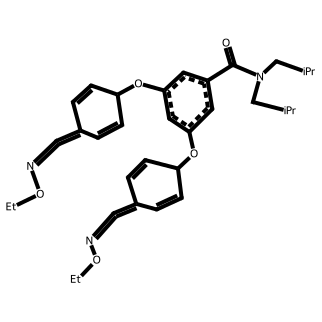 CCON=C=C1C=CC(Oc2cc(OC3C=CC(=C=NOCC)C=C3)cc(C(=O)N(CC(C)C)CC(C)C)c2)C=C1